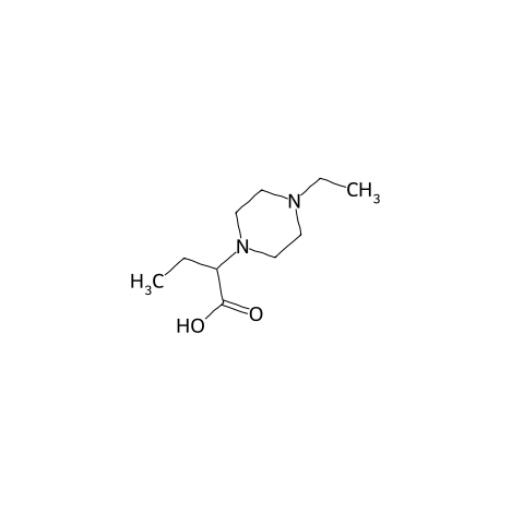 CCC(C(=O)O)N1CCN(CC)CC1